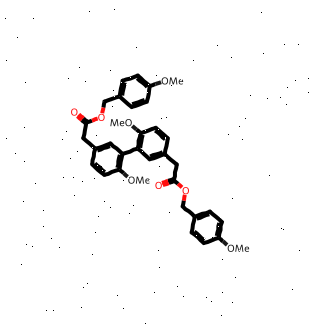 COc1ccc(COC(=O)Cc2ccc(OC)c(-c3cc(CC(=O)OCc4ccc(OC)cc4)ccc3OC)c2)cc1